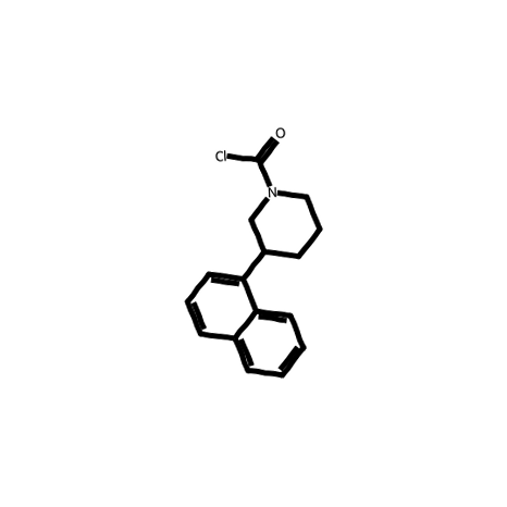 O=C(Cl)N1CCCC(c2cccc3ccccc23)C1